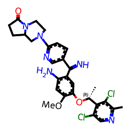 COc1cc(N)c(C(=N)c2ccc(N3CCN4C(=O)CCC4C3)nc2)cc1O[C@H](C)c1c(Cl)cnc(C)c1Cl